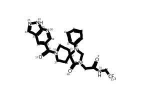 O=C(CN1CN(c2ccccc2)C2(CCN(C(=O)c3cnc4[nH]ncc4c3)CC2)C1=O)NCC(F)(F)F